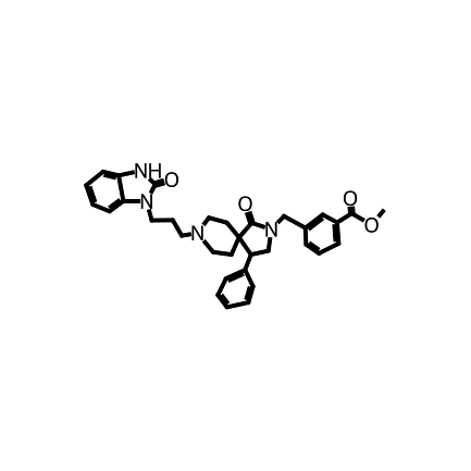 COC(=O)c1cccc(CN2CC(c3ccccc3)C3(CCN(CCCn4c(=O)[nH]c5ccccc54)CC3)C2=O)c1